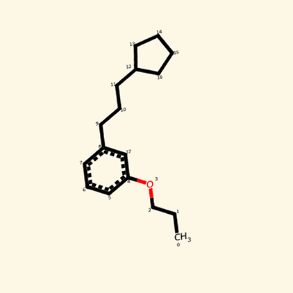 CCCOc1cccc(CCCC2CCCC2)c1